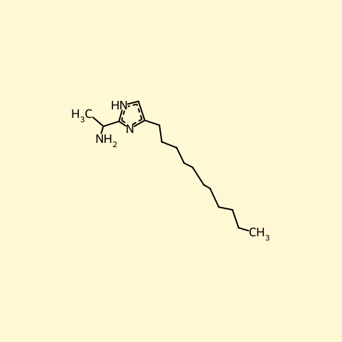 CCCCCCCCCCCc1c[nH]c(C(C)N)n1